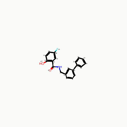 O=C(NCc1cccc(-c2ccccc2)c1)c1cc(F)ccc1O